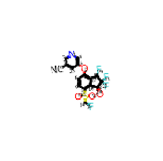 N#Cc1cncc(Oc2ccc(S(=O)(=O)CF)c3c2[C@@H](F)C(F)(F)C3=O)c1